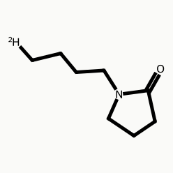 [2H]CCCCN1CCCC1=O